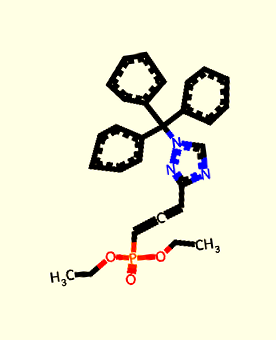 CCOP(=O)(C=C=Cc1ncn(C(c2ccccc2)(c2ccccc2)c2ccccc2)n1)OCC